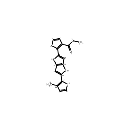 COC(=O)c1ccsc1-c1cc2sc(-c3sccc3C)cc2s1